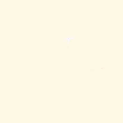 O=C(O)c1cc2cc[nH]c(=O)c2c2cc(-c3ccc(CO)cc3)ccc12